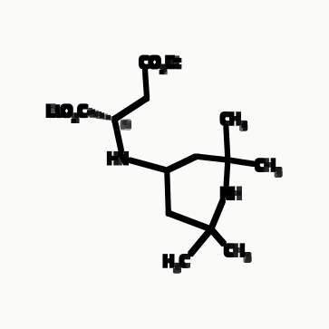 CCOC(=O)C[C@H](NC1CC(C)(C)NC(C)(C)C1)C(=O)OCC